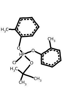 Cc1ccccc1O[PH](Cl)(Oc1ccccc1C)OC(C)(C)C